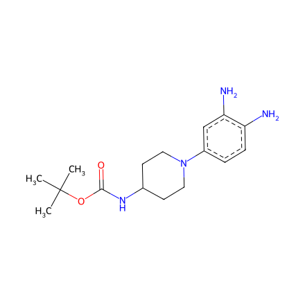 CC(C)(C)OC(=O)NC1CCN(c2ccc(N)c(N)c2)CC1